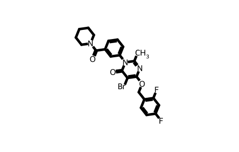 Cc1nc(OCc2ccc(F)cc2F)c(Br)c(=O)n1-c1cccc(C(=O)N2CCCCC2)c1